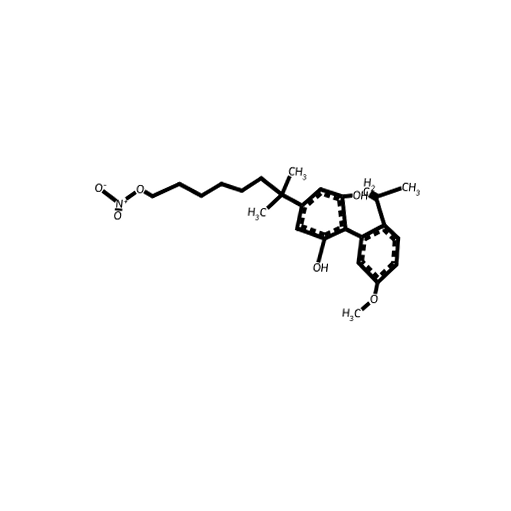 C=C(C)c1ccc(OC)cc1-c1c(O)cc(C(C)(C)CCCCCCO[N+](=O)[O-])cc1O